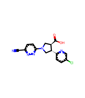 N#Cc1ccc(N2C[C@@H](C(=O)O)[C@H](c3ccc(Cl)cn3)C2)nn1